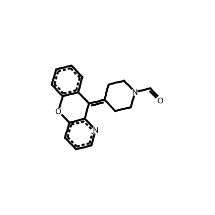 O=CN1CCC(=C2c3ccccc3Oc3cccnc32)CC1